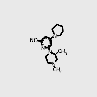 C[C@H]1CN(C)CCN1c1cc(N2CCCCC2)cc(C#N)n1